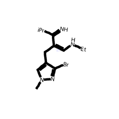 CCN/C=C(/Cc1cn(C)nc1Br)C(=N)C(C)C